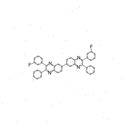 Fc1cccc(-c2nc3ccc(-c4ccc5nc(-c6ccccc6)c(-c6cccc(F)c6)nc5c4)cc3nc2-c2ccccc2)c1